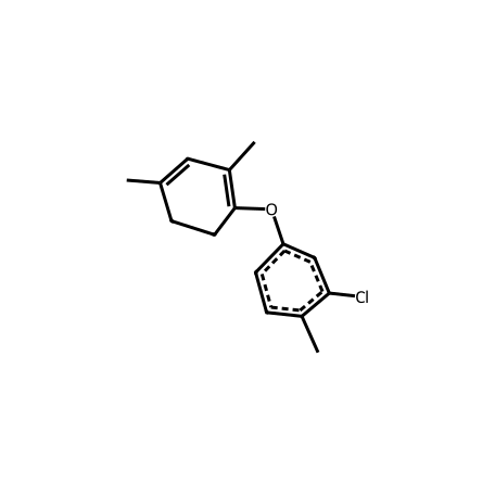 CC1=CC(C)=C(Oc2ccc(C)c(Cl)c2)CC1